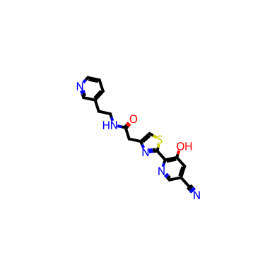 N#Cc1cnc(-c2nc(CC(=O)NCCc3cccnc3)cs2)c(O)c1